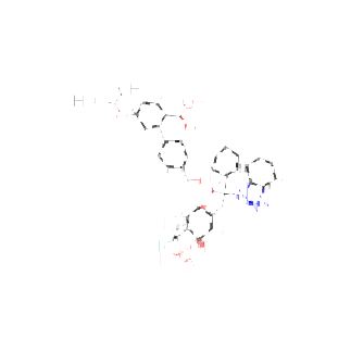 CC(C)Oc1ccc(C(=O)O)c(-c2ccc(COC(=O)C(Cc3ccc(C(F)(F)P(=O)(O)O)cc3)(c3ccccc3)n3nnc4ccccc43)cc2)c1